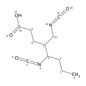 CCCC(N=C=O)C(CCC(=O)O)CN=C=O